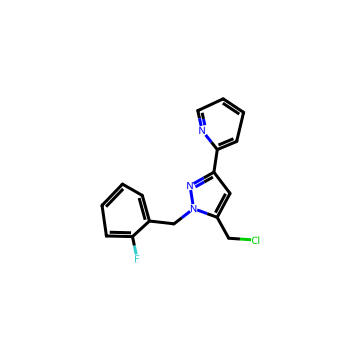 Fc1ccccc1Cn1nc(-c2ccccn2)cc1CCl